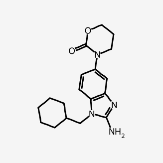 Nc1nc2cc(N3CCCOC3=O)ccc2n1CC1CCCCC1